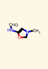 CN1C=C(NC=O)OC1